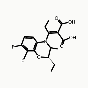 CCC(=C(C(=O)O)C(=O)O)N1c2ccc(F)c(F)c2O[C@@H](CC)C1C